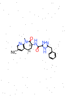 C[C@H]1C[C@H](NC(=O)c2nnc(Cc3ccccc3)[nH]2)C(=O)N(C)c2ncc(C#N)cc21